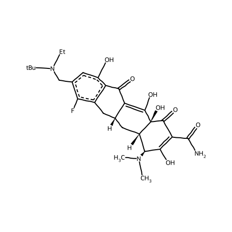 CCN(Cc1cc(O)c2c(c1F)C[C@H]1C[C@H]3[C@H](N(C)C)C(O)=C(C(N)=O)C(=O)[C@@]3(O)C(O)=C1C2=O)C(C)(C)C